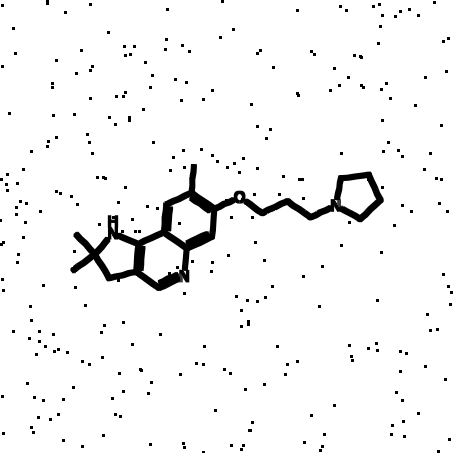 Cc1cc2c3c(cnc2cc1OCCCN1CCCC1)CC(C)(C)N3